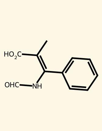 C/C(C(=O)O)=C(/NC=O)c1ccccc1